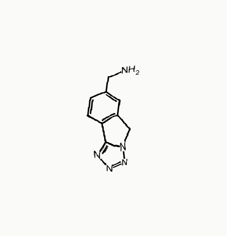 NCc1ccc2c(c1)Cn1nnnc1-2